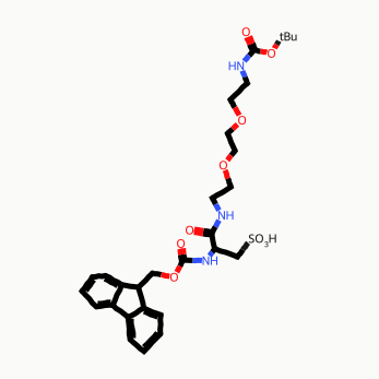 CC(C)(C)OC(=O)NCCOCCOCCNC(=O)C(CS(=O)(=O)O)NC(=O)OCC1c2ccccc2-c2ccccc21